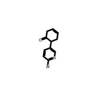 O=C1CC=CCC1c1ccc(Br)nc1